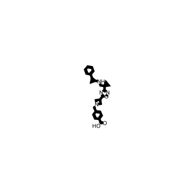 O=C(O)c1ccc(CN2CC(c3nc(C4(CNC5CC5c5ccccc5)CC4)no3)C2)cc1